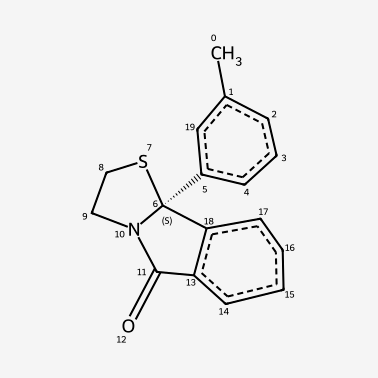 Cc1cccc([C@@]23SCCN2C(=O)c2ccccc23)c1